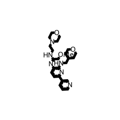 COC/C(=N\c1ccc(-c2cccnc2)nc1NCC1CCOCC1)NCCN1CCOCC1